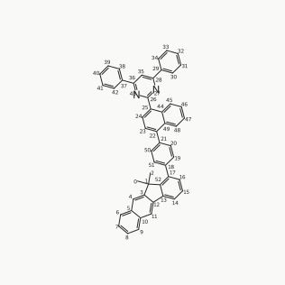 CC1(C)c2cc3ccccc3cc2-c2cccc(-c3ccc(-c4ccc(-c5nc(-c6ccccc6)cc(-c6ccccc6)n5)c5ccccc45)cc3)c21